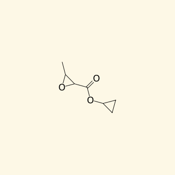 CC1OC1C(=O)OC1CC1